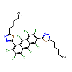 CCCCCc1nnc(-c2c(Cl)c(Cl)c3c(Cl)c4c(-c5nnc(CCCCC)s5)c(Cl)c(Cl)c(Cl)c4c(Cl)c3c2Cl)s1